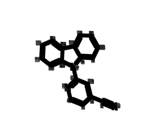 N#Cc1ccnc(-n2c3ccccc3c3ccccc32)c1